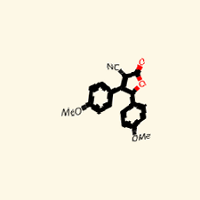 COc1ccc(C2=C(C#N)C(=O)OC2c2ccc(OC)cc2)cc1